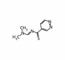 CN(C)C=NC(=S)c1ccnnc1